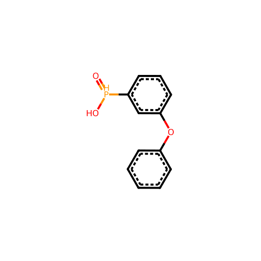 O=[PH](O)c1cccc(Oc2ccccc2)c1